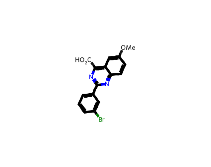 COc1ccc2nc(-c3cccc(Br)c3)nc(C(=O)O)c2c1